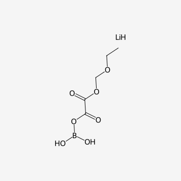 CCOCOC(=O)C(=O)OB(O)O.[LiH]